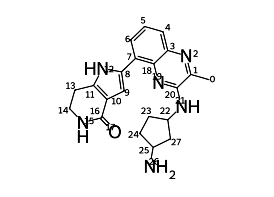 Cc1nc2cccc(-c3cc4c([nH]3)CCNC4=O)c2nc1NC1CCC(N)C1